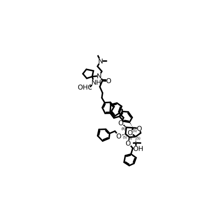 Cc1ccc([C@]23OC[C@](C(C)(C)O)(O2)[C@@H](OCc2ccccc2)[C@H](OCc2ccccc2)[C@H]3OCc2ccccc2)cc1Cc1ccc(CCCC(=O)N(CCN(C)C)C2(NC=O)CCCC2)cc1